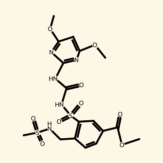 COC(=O)c1ccc(CNS(C)(=O)=O)c(S(=O)(=O)NC(=O)Nc2nc(OC)cc(OC)n2)c1